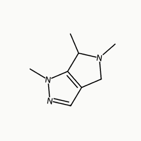 CC1c2c(cnn2C)CN1C